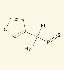 CCC(C)(P=S)c1ccoc1